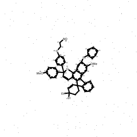 CCC1(CC)C=CC2(CC1)c1ccccc1-c1c2c2c(c3cc(Sc4ccccc4)c(OC)cc13)OC(c1ccc(OC)cc1)(c1ccc(OCCN=O)cc1)C=C2